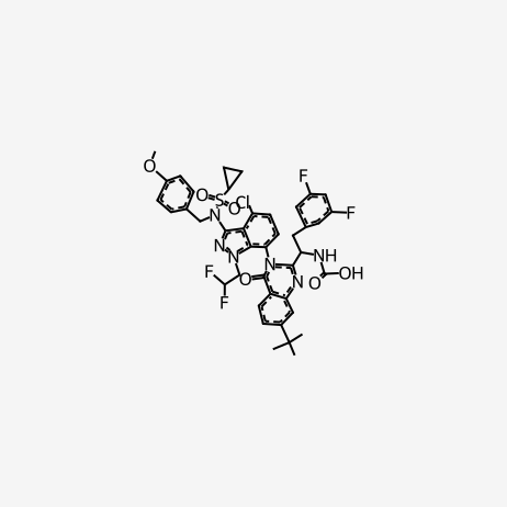 COc1ccc(CN(c2nn(CC(F)F)c3c(-n4c(C(Cc5cc(F)cc(F)c5)NC(=O)O)nc5cc(C(C)(C)C)ccc5c4=O)ccc(Cl)c23)S(=O)(=O)C2CC2)cc1